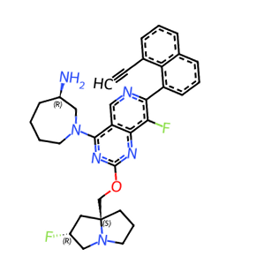 C#Cc1cccc2cccc(-c3ncc4c(N5CCCC[C@@H](N)C5)nc(OC[C@@]56CCCN5C[C@H](F)C6)nc4c3F)c12